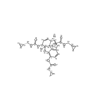 O=C(OC1=CC1)Oc1ccc2c3c1O[C@H]1C(OC(=O)OCC4C=C4)C=CC4[C@@H](C2)N(C(=O)OCC2=CC2)CCC341